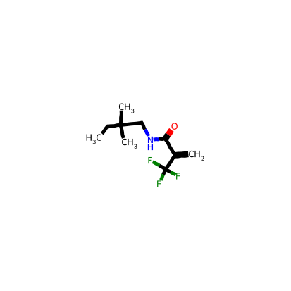 C=C(C(=O)NCC(C)(C)CC)C(F)(F)F